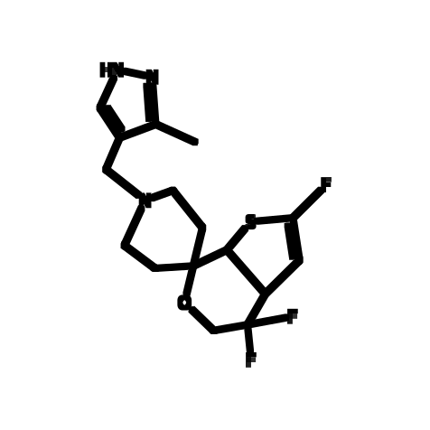 Cc1n[nH]cc1CN1CCC2(CC1)OCC(F)(F)C1C=C(F)SC12